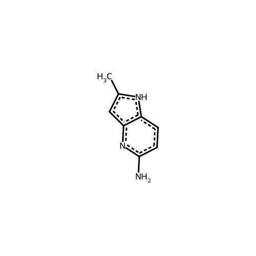 Cc1cc2nc(N)ccc2[nH]1